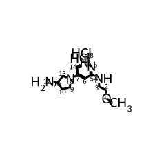 COCCNc1cc(N2CC[C@@H](N)C2)cnn1.Cl.Cl